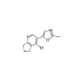 CCc1c(-c2cnc(C)o2)cnc2c1CCC2